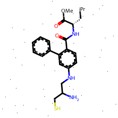 COC(=O)[C@H](CC(C)C)NC(=O)c1ccc(NCC(N)CS)cc1-c1ccccc1